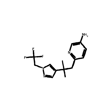 CC(C)(Cc1ccc(N)cn1)c1cnn(CC(F)(F)F)c1